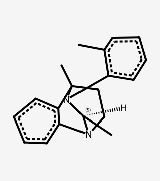 Cc1ccccc1N1[C@@H](C)N2CCC1(C)c1ccccc12